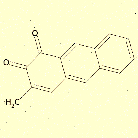 [CH2]C1=Cc2cc3ccccc3cc2C(=O)C1=O